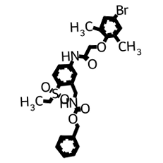 CCS(=O)(=O)c1ccc(NC(=O)COc2c(C)cc(Br)cc2C)cc1CNC(=O)OCc1ccccc1